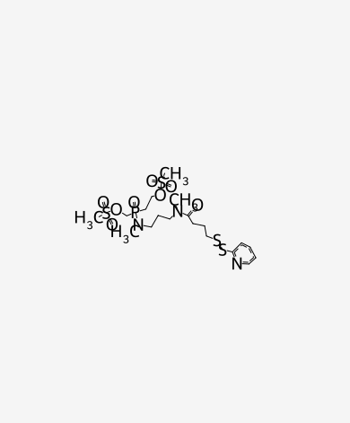 CN(CCCN(C)P(=O)(CCOS(C)(=O)=O)COS(C)(=O)=O)C(=O)CCCSSc1ccccn1